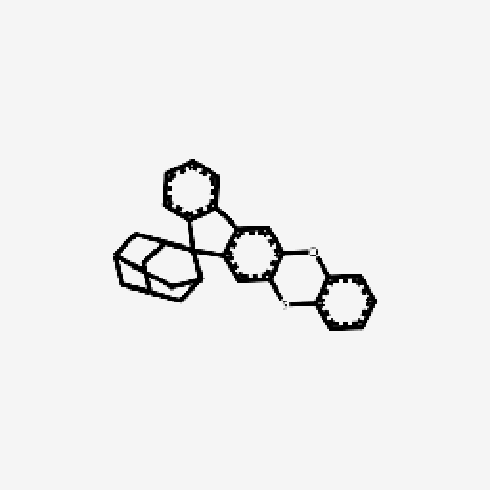 c1ccc2c(c1)Oc1cc3c(cc1S2)C1(c2ccccc2-3)C2CC3CC(C2)CC1C3